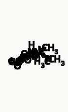 CC/N=C(\NCCCN(C)C)Nc1cccc2c(C(=O)C(=O)N3CCN(C(=O)c4ccccc4)CC3)c[nH]c12